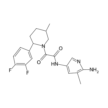 Cc1cc(NC(=O)C(=O)N2CC(C)CCC2c2ccc(F)c(F)c2)cnc1N